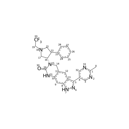 Cc1ncc(-c2n[nH]c3cc4c(cc23)CN([C@@H]2CN(CC(F)(F)F)CC2c2ccccc2)C(=O)N4)cn1